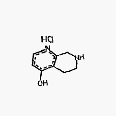 Cl.Oc1ccnc2c1CCNC2